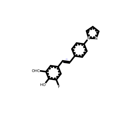 O=Cc1cc(/C=C/c2ccc(-n3cccn3)cc2)cc(F)c1O